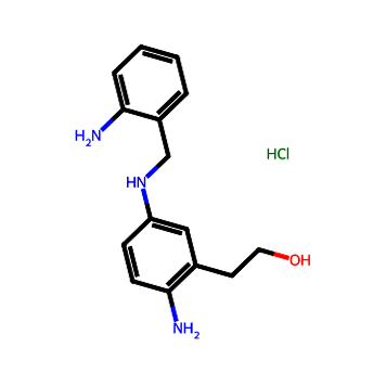 Cl.Nc1ccc(NCc2ccccc2N)cc1CCO